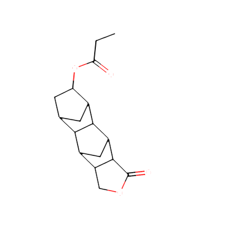 CCC(=O)OC1CC2CC1C1C3CC(C4COC(=O)C43)C21